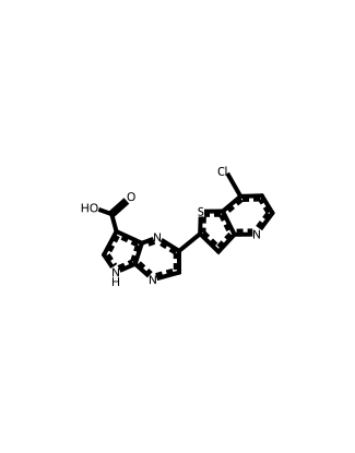 O=C(O)c1c[nH]c2ncc(-c3cc4nccc(Cl)c4s3)nc12